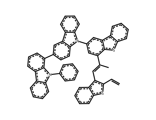 C=Cc1sc2ccccc2c1/C=C(\C)c1cc(-n2c3ccccc3c3cc(-c4cccc5c6ccccc6n(-c6ccccc6)c45)ccc32)cc2c1sc1ccccc12